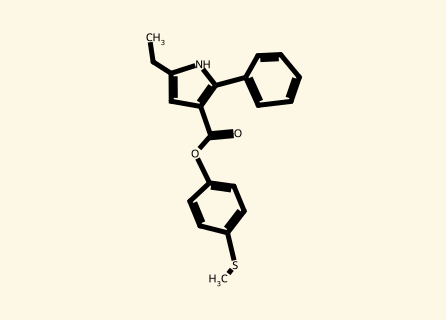 CCc1cc(C(=O)Oc2ccc(SC)cc2)c(-c2ccccc2)[nH]1